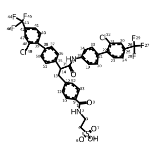 O=C(NCCS(=O)(=O)O)c1ccc(CC(C(=O)Nc2ccc(-c3ccc(C(F)(F)F)cc3Cl)cc2)c2ccc(-c3ccc(C(F)(F)F)cc3Cl)cc2)cc1